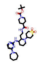 CC(C)(C)OC(=O)N1CCC(C(=O)NCCC2C(Nc3nccc(N4CCCCCC4)n3)CCCN2C2CCS(=O)(=O)CC2)CC1